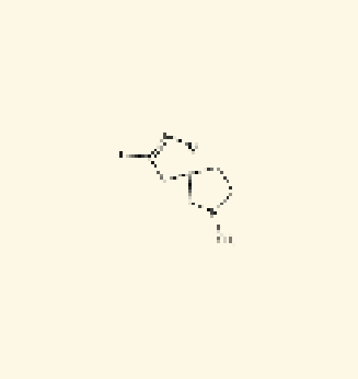 CN1CCC2(CC(I)=NO2)C1